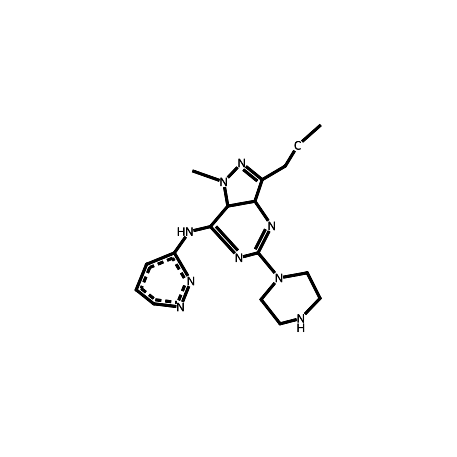 CCCC1=NN(C)C2C(Nc3cccnn3)=NC(N3CCNCC3)=NC12